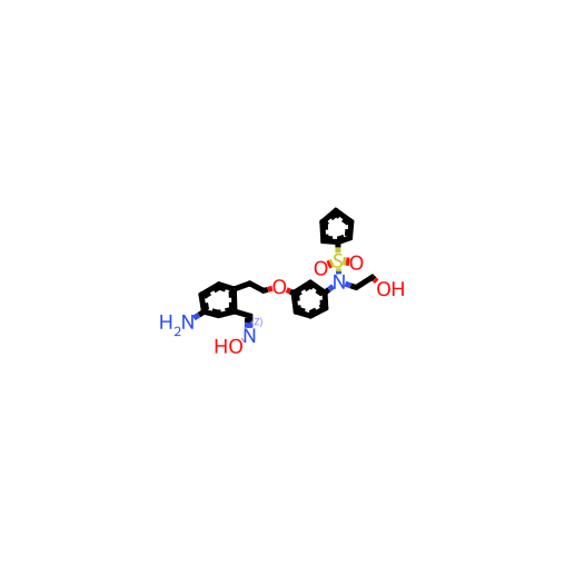 Nc1ccc(CCOc2cccc(N(CCO)S(=O)(=O)c3ccccc3)c2)c(/C=N\O)c1